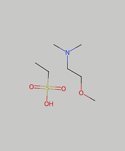 CCS(=O)(=O)O.COCCN(C)C